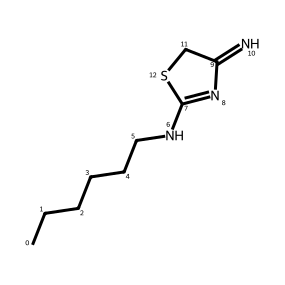 CCCCCCNC1=NC(=N)CS1